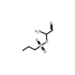 CCCS(=O)(=O)OC(N)C=O